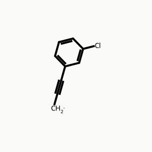 [CH2]C#Cc1cccc(Cl)c1